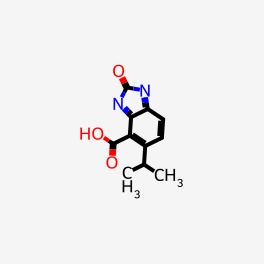 CC(C)c1ccc2c(c1C(=O)O)=NC(=O)N=2